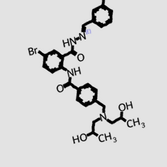 COc1cccc(/C=N/NC(=O)c2cc(Br)ccc2NC(=O)c2ccc(CN(CC(C)O)CC(C)O)cc2)c1